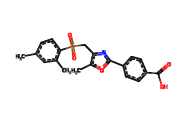 Cc1ccc(S(=O)(=O)Cc2nc(-c3ccc(C(=O)O)cc3)oc2C)c(C)c1